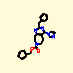 O=C(OCc1ccccc1)N1CCc2nc(Cc3ccccc3)nc(-n3ccnc3)c2CC1